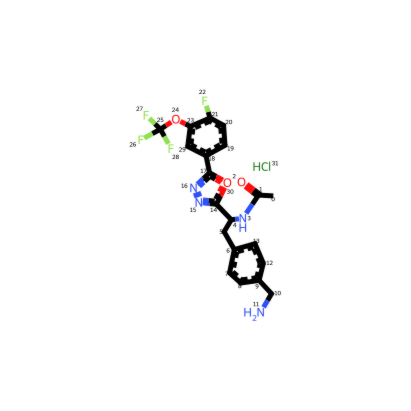 CC(=O)NC(Cc1ccc(CN)cc1)c1nnc(-c2ccc(F)c(OC(F)(F)F)c2)o1.Cl